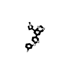 CN1CCC(c2cc(-c3ccc(Oc4cccc(F)c4)nc3)cc3cncnc23)C1